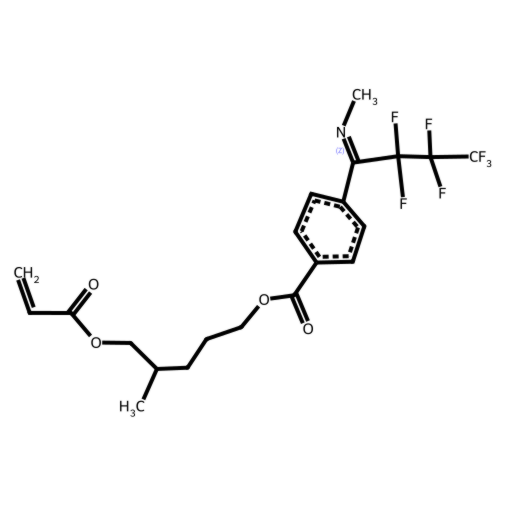 C=CC(=O)OCC(C)CCCOC(=O)c1ccc(/C(=N/C)C(F)(F)C(F)(F)C(F)(F)F)cc1